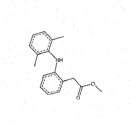 COC(=O)Cc1ccccc1Nc1c(C)cccc1C